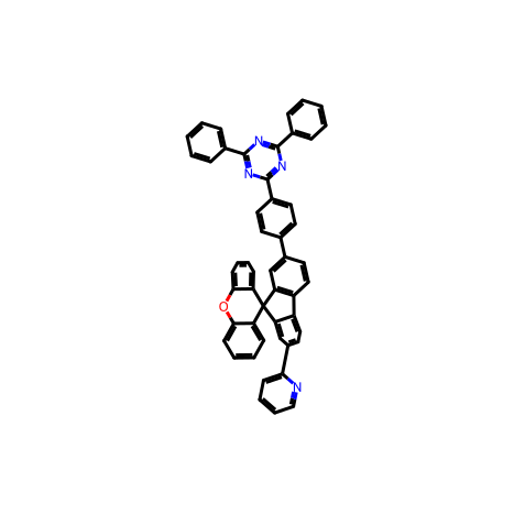 c1ccc(-c2nc(-c3ccccc3)nc(-c3ccc(-c4ccc5c(c4)C4(c6ccccc6Oc6ccccc64)c4cc(-c6ccccn6)ccc4-5)cc3)n2)cc1